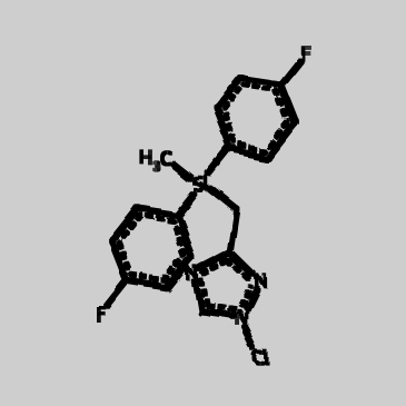 C[Si](Cc1ncn(Cl)n1)(c1ccc(F)cc1)c1ccc(F)cc1